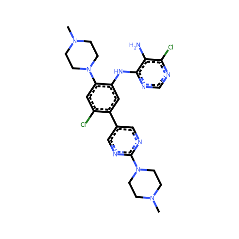 CN1CCN(c2ncc(-c3cc(Nc4ncnc(Cl)c4N)c(N4CCN(C)CC4)cc3Cl)cn2)CC1